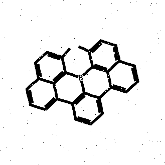 Cc1ccc2cccc3c2c1B1c2c-3cccc2-c2cccc3ccc(C)c1c23